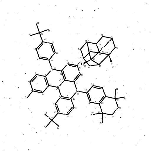 Cc1ccc2c(c1)B1c3cc(C(C)(C)C)ccc3N(c3ccc4c(c3)C(C)(C)CCC4(C)C)c3cc([C@]45CC6C7CC8C[C@@H]6C(C4)[C@@H](C8)C7C5)nc(c31)N2c1ccc(C(C)(C)C)cc1